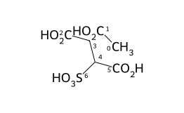 CC(=O)O.O=C(O)CC(C(=O)O)S(=O)(=O)O